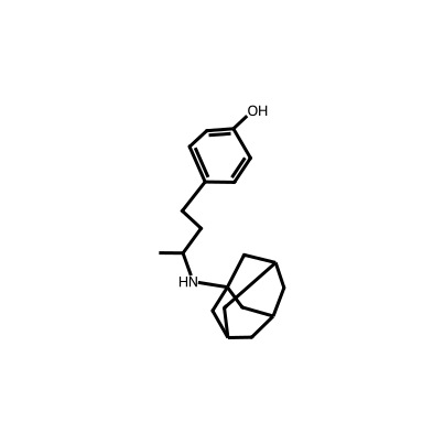 CC(CCc1ccc(O)cc1)NC12CC3CC(CC(C3)C1)C2